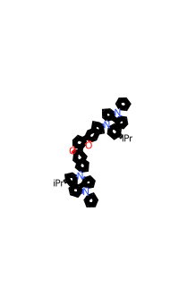 CC(C)c1ccc(N(c2ccc3cc4c(cc3c2)oc2c4ccc3oc4cc5cc(N(c6ccc(C(C)C)cc6)c6cccc7c6c6ccccc6n7-c6ccccc6)ccc5cc4c32)c2cccc3c2c2ccccc2n3-c2ccccc2)cc1